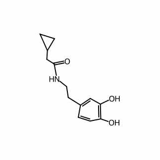 O=C(CC1CC1)NCCc1ccc(O)c(O)c1